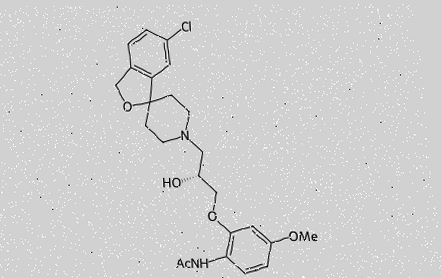 COc1ccc(NC(C)=O)c(OC[C@H](O)CN2CCC3(CC2)OCc2ccc(Cl)cc23)c1